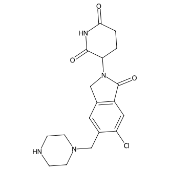 O=C1CCC(N2Cc3cc(CN4CCNCC4)c(Cl)cc3C2=O)C(=O)N1